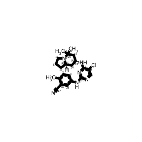 Cc1ccc(Nc2ncc(Cl)c(N[C@@H]3C[C@H]4CCCN4C(C)(C)C3)n2)cc1C#N